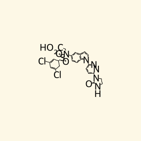 O=C(O)CN(c1ccc2c(ccn2-c2ccc(N3CCNC3=O)nn2)c1)S(=O)(=O)C1C=C(Cl)C=C(Cl)C1